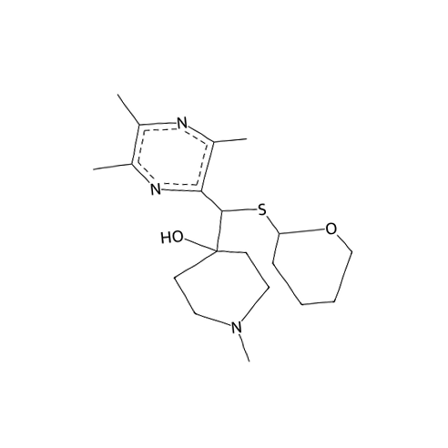 Cc1nc(C)c(C(SC2CCCCO2)C2(O)CCN(C)CC2)nc1C